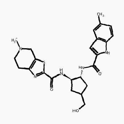 Cc1ccc2[nH]c(C(=O)N[C@@H]3CC(CO)C[C@H]3NC(=O)c3nc4c(s3)CN(C)CC4)cc2c1